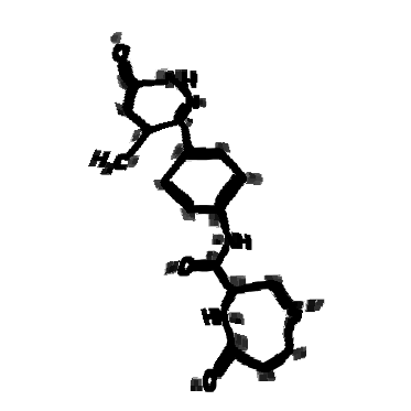 CC1CC(=O)NN=C1c1ccc(NC(=O)C2CSCCC(=O)N2)cc1